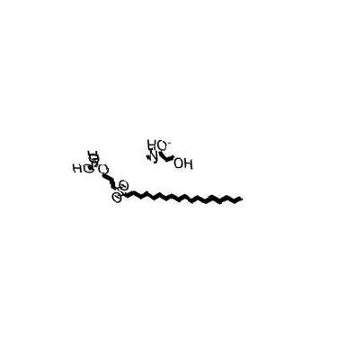 CCCCCCCCCCCCCCCCCCS(=O)(=O)CCCO[PH](=O)O.C[N+](C)(C)CCCO.[OH-]